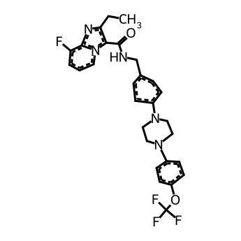 CCc1nc2c(F)cccn2c1C(=O)NCc1ccc(N2CCN(c3ccc(OC(F)(F)F)cc3)CC2)cc1